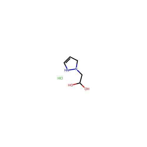 Cl.OC(O)CN1CC=CN1